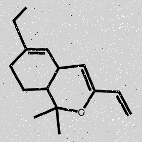 C=CC1=CC2C=C(CC)CCC2C(C)(C)O1